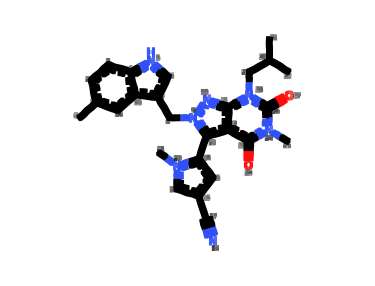 Cc1ccc2[nH]cc(Cn3nc4c(c3-c3cc(C#N)cn3C)c(=O)n(C)c(=O)n4CC(C)C)c2c1